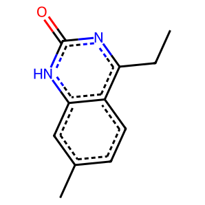 CCc1nc(=O)[nH]c2cc(C)ccc12